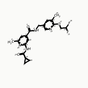 Cc1cc(C(=O)NCc2cnc(OCC(F)F)c(C)c2)cc(NC(=O)C2CC2)n1